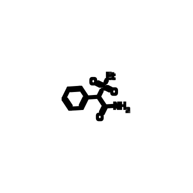 CCS(=O)(=O)C(C(N)=O)c1ccccc1